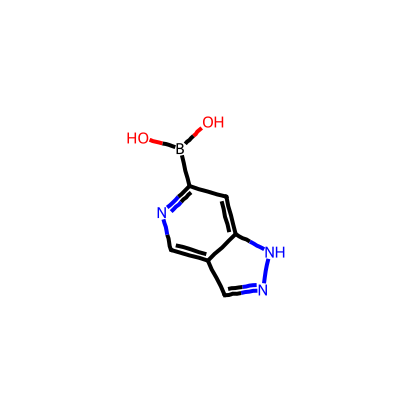 OB(O)c1cc2[nH]ncc2cn1